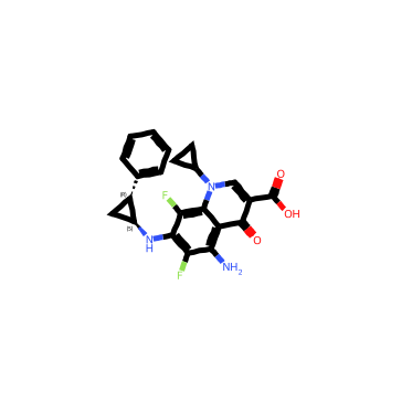 Nc1c(F)c(N[C@H]2C[C@@H]2c2ccccc2)c(F)c2c1c(=O)c(C(=O)O)cn2C1CC1